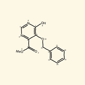 COC(=O)c1ncnc(O)c1OCc1ccccc1